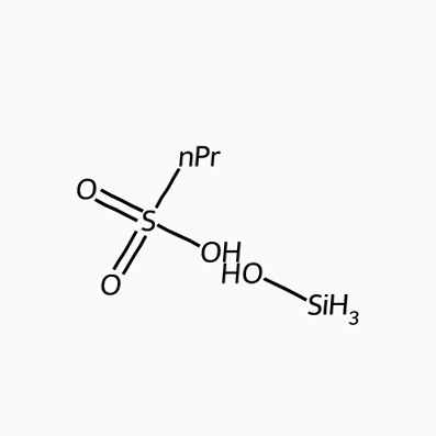 CCCS(=O)(=O)O.O[SiH3]